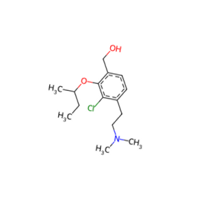 CCC(C)Oc1c(CO)ccc(CCN(C)C)c1Cl